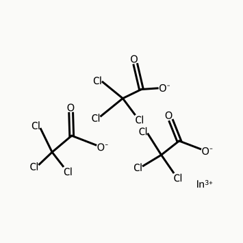 O=C([O-])C(Cl)(Cl)Cl.O=C([O-])C(Cl)(Cl)Cl.O=C([O-])C(Cl)(Cl)Cl.[In+3]